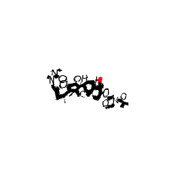 CC(C)C(=O)N1CCO[C@@H](O[C@H]2CC[C@]34C[C@]35CC[C@]3(C)C6C(OC(CN(C)C(=O)N(C)C)C[C@H]6C)[C@H](O)[C@@]3(C)C5CC[C@H]4C2(C)C)C1